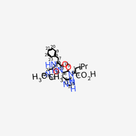 CC(C)C[C@H](NC(=O)[C@H](Cc1c[nH]cn1)NC(=O)[C@H](Cc1ccccc1)NC(=O)CN(C)C)C(=O)O